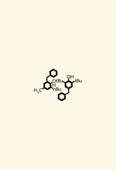 CC(C)(C)c1cc(Cc2ccccc2)cc(C(C)(C)C)c1O.CCCCc1cc(C)cc(Cc2ccccc2)c1O